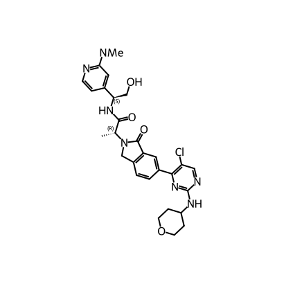 CNc1cc([C@@H](CO)NC(=O)[C@@H](C)N2Cc3ccc(-c4nc(NC5CCOCC5)ncc4Cl)cc3C2=O)ccn1